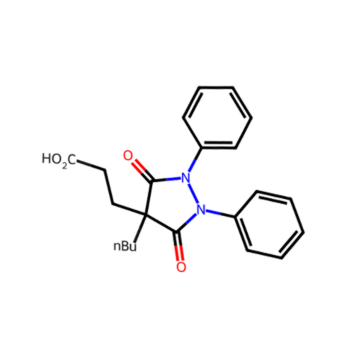 CCCCC1(CCC(=O)O)C(=O)N(c2ccccc2)N(c2ccccc2)C1=O